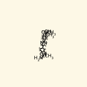 CN(Cc1cccc(-c2cnc(N3CCN(C(=O)C(C)(C)C)CC3)nc2)c1)C(=O)CN